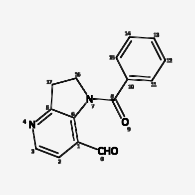 O=Cc1ccnc2c1N(C(=O)c1ccccc1)CC2